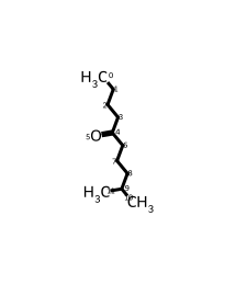 CCCCC(=O)CCCC(C)C